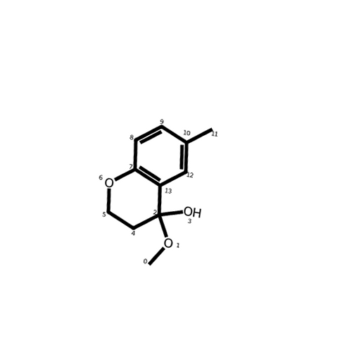 COC1(O)CCOc2ccc(C)cc21